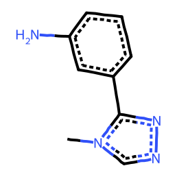 Cn1cnnc1-c1cccc(N)c1